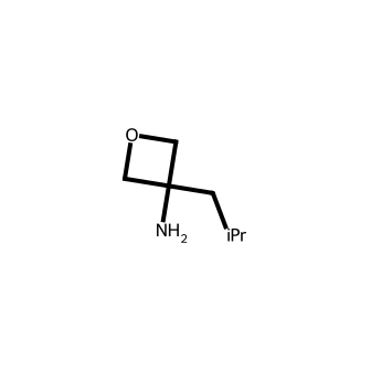 CC(C)CC1(N)COC1